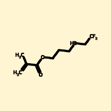 C=C(C)C(=O)OCCCBCC(F)(F)F